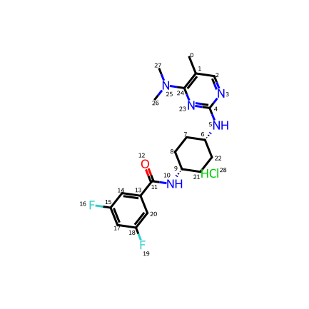 Cc1cnc(N[C@H]2CC[C@@H](NC(=O)c3cc(F)cc(F)c3)CC2)nc1N(C)C.Cl